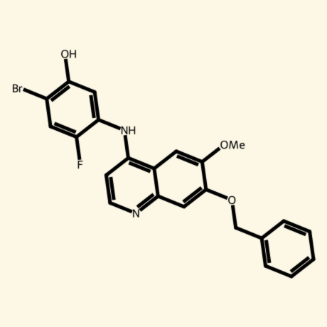 COc1cc2c(Nc3cc(O)c(Br)cc3F)ccnc2cc1OCc1ccccc1